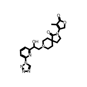 CC1=C(N2CCC3(CCN(CC(O)c4cccc(-n5cnnn5)n4)CC3)C2=O)COC1=O